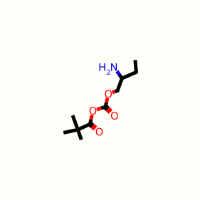 CCC(N)COC(=O)OC(=O)C(C)(C)C